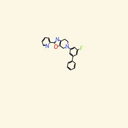 Fc1cc(-c2ccccc2)cc(N2CCc3nc(-c4ccccn4)oc3C2)c1